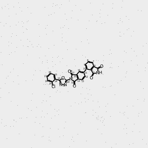 O=C1NC(=O)c2c1cccc2-c1ccc2c(c1)C(=O)N(c1nnc(-c3ccccc3Cl)o1)C2=O